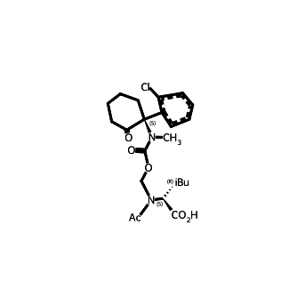 CC[C@@H](C)[C@@H](C(=O)O)N(COC(=O)N(C)[C@]1(c2ccccc2Cl)CCCCC1=O)C(C)=O